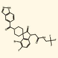 O=C(CN1C(=O)C2(CCN(C(=O)c3ccc4[nH]ncc4c3)CC2)c2c1ccc(F)c2Br)NCC(F)(F)F